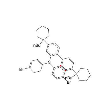 CCCCC1(C2=C=C=C(c3ccc(C4(CCCC)CCCCC4)cc3N(C3=CC=C(Br)CC3)c3ccc(Br)cc3)C=C2)CCCCC1